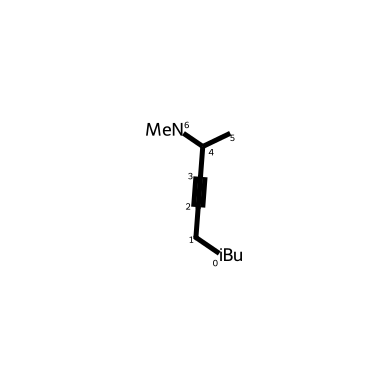 [CH2]CC(C)CC#CC(C)NC